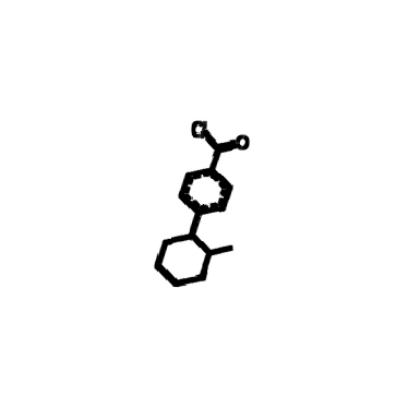 CC1CCCCC1c1ccc(C(=O)Cl)cc1